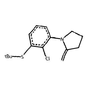 C=C1CCCN1c1cccc(SC(C)(C)C)c1Cl